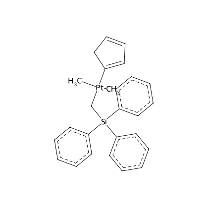 [CH3][Pt]([CH3])([CH2][Si](c1ccccc1)(c1ccccc1)c1ccccc1)[C]1=CC=CC1